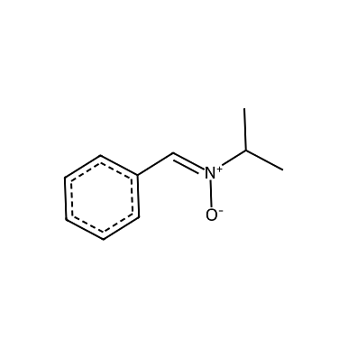 CC(C)[N+]([O-])=Cc1ccccc1